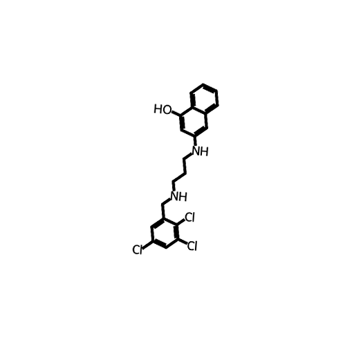 Oc1cc(NCCCNCc2cc(Cl)cc(Cl)c2Cl)cc2ccccc12